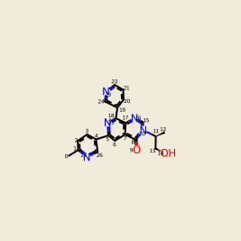 Cc1ccc(-c2cc3c(=O)n([C@@H](C)CO)cnc3c(-c3cccnc3)n2)cn1